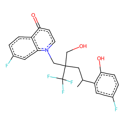 CC(CC(CO)(Cn1ccc(=O)c2ccc(F)cc21)C(F)(F)F)c1cc(F)ccc1O